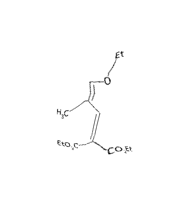 CCOC=C(C)C=C(C(=O)OCC)C(=O)OCC